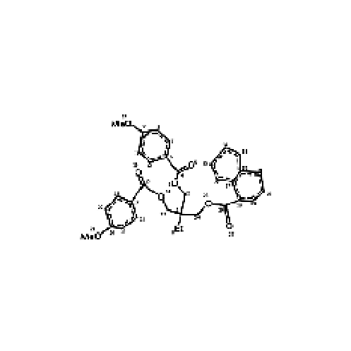 CCC(COC(=O)c1ccc(OC)cc1)(COC(=O)c1ccc(OC)cc1)COC(=O)c1cccc2ccccc12